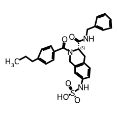 CCCc1ccc(C(=O)N2Cc3cc(NS(=O)(=O)O)ccc3C[C@H]2C(=O)NCc2ccccc2)cc1